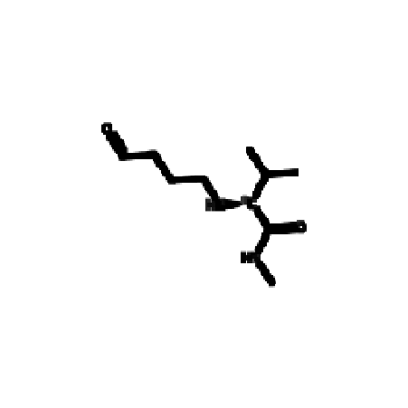 CNC(=O)[9C@@H](NCCCC=O)C(C)C